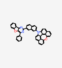 c1ccc(-c2nc(-c3ccc4ccc(-n5c6ccc7cccc8oc9cccc%10ccc5c(c%109)c6c78)cc4c3)nc3c2oc2ccccc23)cc1